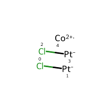 [Cl][Pt-].[Cl][Pt-].[Co+2]